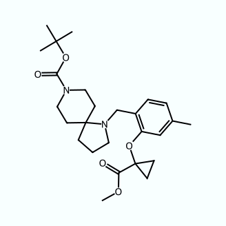 COC(=O)C1(Oc2cc(C)ccc2CN2CCCC23CCN(C(=O)OC(C)(C)C)CC3)CC1